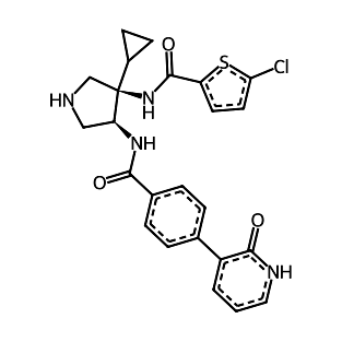 O=C(N[C@H]1CNC[C@]1(NC(=O)c1ccc(Cl)s1)C1CC1)c1ccc(-c2ccc[nH]c2=O)cc1